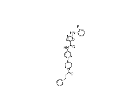 O=C(Nc1ccc(N2CCN(C(=O)CCc3ccccc3)CC2)nc1)c1nnc(Nc2ccccc2F)o1